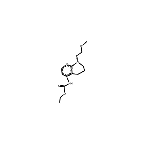 CCOC(=O)Nc1ccnc2c1CCCN2CCNC